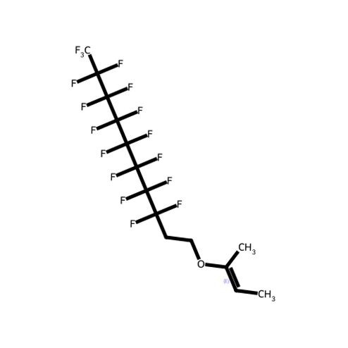 C/C=C(\C)OCCC(F)(F)C(F)(F)C(F)(F)C(F)(F)C(F)(F)C(F)(F)C(F)(F)C(F)(F)F